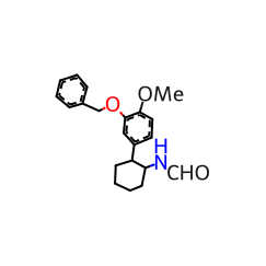 COc1ccc(C2CCCCC2NC=O)cc1OCc1ccccc1